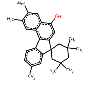 CSc1cc2c(O)cc3c(c2cc1C)-c1ccc(C)cc1C31CC(C)(C)CC(C)(C)C1